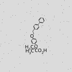 CC(C)(Oc1ccc(OCCc2ccc(-c3ccccc3)cc2)cc1)C(=O)O